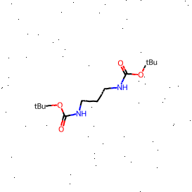 CC(C)(C)OC(=O)NCCCNC(=O)OC(C)(C)C